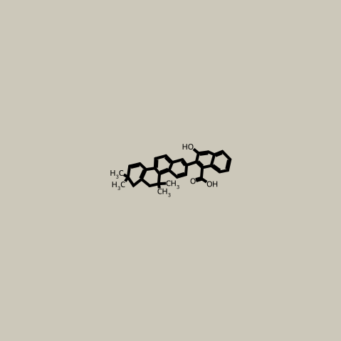 CC1(C)C=CC2=C(C1)CC(C)(C)c1c2ccc2cc(-c3c(O)cc4ccccc4c3C(=O)O)ccc12